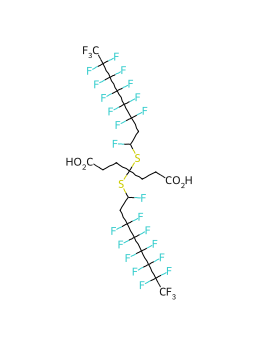 O=C(O)CCC(CCC(=O)O)(SC(F)CC(F)(F)C(F)(F)C(F)(F)C(F)(F)C(F)(F)C(F)(F)F)SC(F)CC(F)(F)C(F)(F)C(F)(F)C(F)(F)C(F)(F)C(F)(F)F